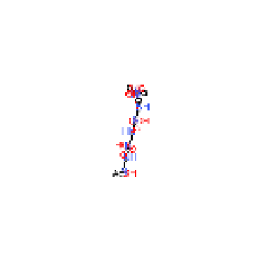 CC(=O)N(O)CCCCCNC(=O)CCC(=O)N(O)CCCCCNC(=O)CCC(=O)N(O)CCCCCNc1ccc(-n2nc(-c3ccccc3O)nc2-c2ccccc2O)cc1